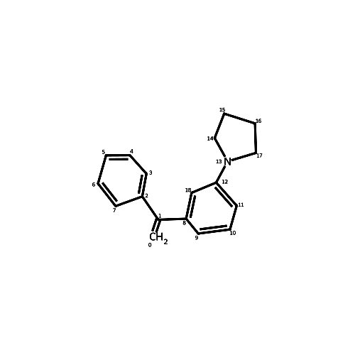 C=C(c1ccccc1)c1cccc(N2CCCC2)c1